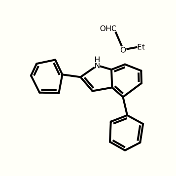 CCOC=O.c1ccc(-c2cc3c(-c4ccccc4)cccc3[nH]2)cc1